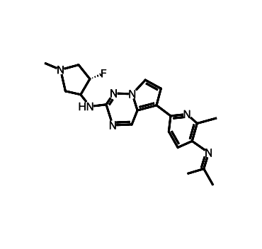 CC(C)=Nc1ccc(-c2ccn3nc(NC4CN(C)C[C@@H]4F)ncc23)nc1C